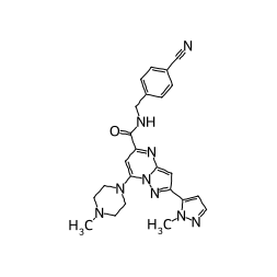 CN1CCN(c2cc(C(=O)NCc3ccc(C#N)cc3)nc3cc(-c4ccnn4C)nn23)CC1